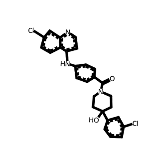 O=C(c1ccc(Nc2ccnc3cc(Cl)ccc23)cc1)N1CCC(O)(c2cccc(Cl)c2)CC1